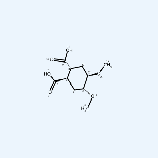 CO[C@@H]1C[C@@H](C(=O)O)[C@H](C(=O)O)C[C@H]1OC